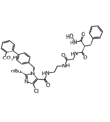 CCCCc1nc(Cl)c(C(=O)NCCNC(=O)CNC(=O)C(Cc2ccccc2)C(=O)NO)n1Cc1ccc(-c2ccccc2C(=O)O)cc1